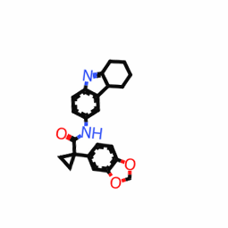 O=C(Nc1ccc2c(c1)C1CCCCC1=N2)C1(c2ccc3c(c2)OCO3)CC1